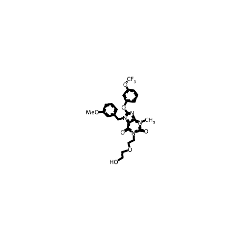 COc1cccc(Cn2c(Oc3cccc(OC(F)(F)F)c3)nc3c2c(=O)n(CCOCCO)c(=O)n3C)c1